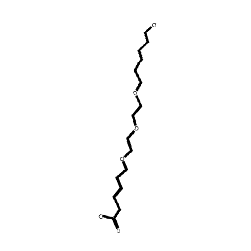 O=C(Cl)CCCCCOCCOCCOCCCCCCCl